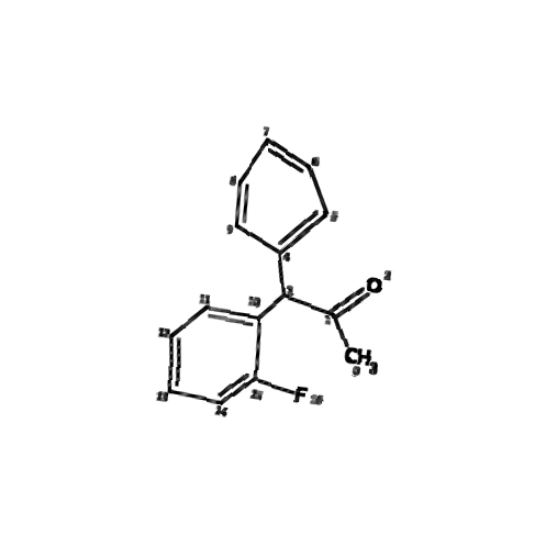 CC(=O)C(c1cc[c]cc1)c1ccccc1F